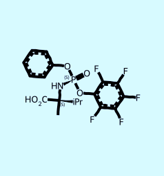 CC(C)[C@](C)(N[P@](=O)(Oc1ccccc1)Oc1c(F)c(F)c(F)c(F)c1F)C(=O)O